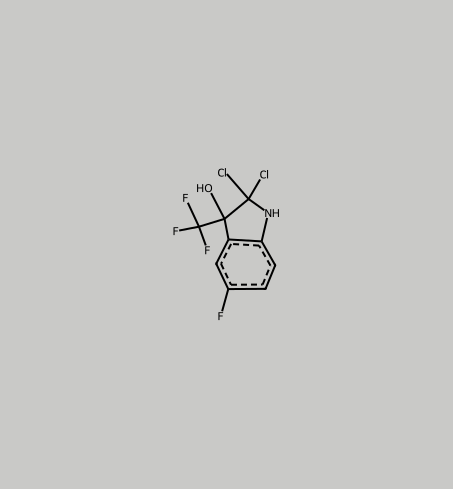 OC1(C(F)(F)F)c2cc(F)ccc2NC1(Cl)Cl